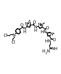 Cn1cc(NC(=O)c2cc(NC(=O)c3cc(NC(=O)c4ccc(N(CCCl)CCCl)cc4)nn3C)nn2C)cc1C(=O)NCCC(=N)N